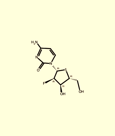 Nc1ccn([C@@H]2S[C@H](CO)[C@@H](O)[C@H]2F)c(=O)n1